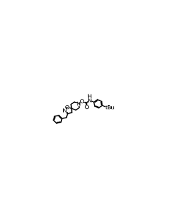 CC(C)(C)c1ccc(NC(=O)ON2CCC3(CC2)CC(Cc2ccccc2)=NO3)cc1